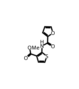 COC(=O)c1ccsc1NC(=O)c1ccco1